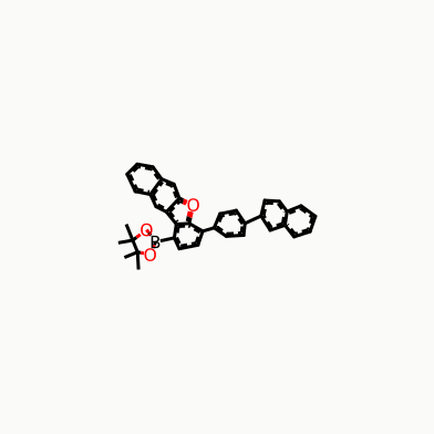 CC1(C)OB(c2ccc(-c3ccc(-c4ccc5ccccc5c4)cc3)c3oc4cc5ccccc5cc4c23)OC1(C)C